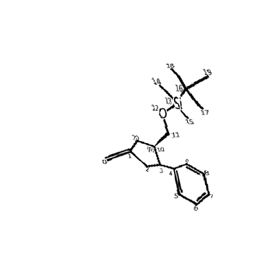 C=C1CC(c2ccccc2)[C@H](CO[Si](C)(C)C(C)(C)C)C1